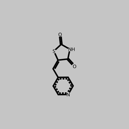 O=C1NC(=O)/C(=C\c2ccncc2)S1